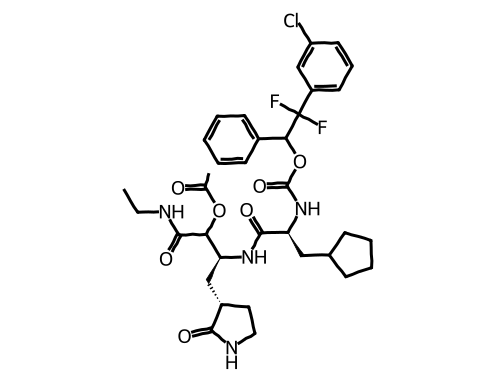 CCNC(=O)C(OC(C)=O)[C@H](C[C@@H]1CCNC1=O)NC(=O)[C@H](CC1CCCC1)NC(=O)OC(c1ccccc1)C(F)(F)c1cccc(Cl)c1